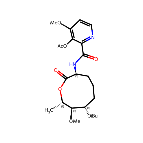 COc1ccnc(C(=O)N[C@H]2CCC[C@H](OCC(C)C)[C@@H](OC)[C@H](C)OC2=O)c1OC(C)=O